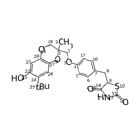 CC1(COc2ccc(CC3SC(=O)NC3=O)cc2)COc2cc(O)c(C(C)(C)C)cc2O1